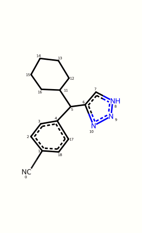 N#Cc1ccc(C(c2c[nH]nn2)C2CCCCC2)cc1